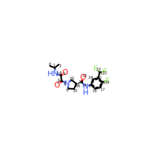 CC(C)NC(=O)C(=O)N1CC[C@H](C(=O)Nc2ccc(F)c(C(F)F)c2)C1